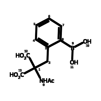 CC(=O)NC(Cc1ccccc1B(O)O)(C(=O)O)C(=O)O